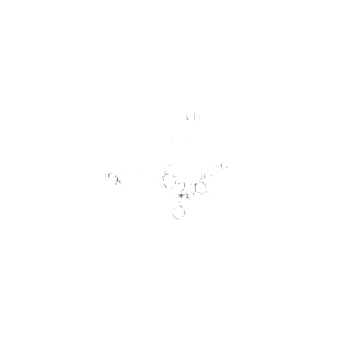 CCCCCCCC/C=C\CCCCCCCC(=O)O.OCCO.c1ccc(OP(Oc2ccccc2)Oc2ccccc2)cc1